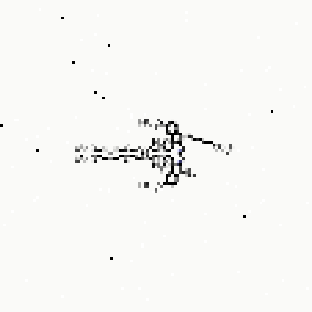 CCN1/C(=C/C=C/C2=[N+](CCCCCC(=O)O)c3ccc(S(=O)(=O)O)cc3C2(C)CCOCCOCCOCCOCCOC)C(C)(CCOCCOCCOCCOCCOC)c2cc(S(=O)(=O)O)ccc21